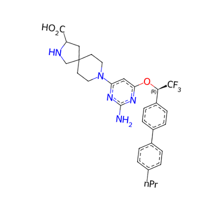 CCCc1ccc(-c2ccc([C@@H](Oc3cc(N4CCC5(CC4)CNC(C(=O)O)C5)nc(N)n3)C(F)(F)F)cc2)cc1